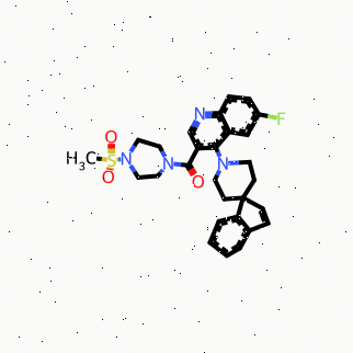 CS(=O)(=O)N1CCN(C(=O)c2cnc3ccc(F)cc3c2N2CCC3(C=Cc4ccccc43)CC2)CC1